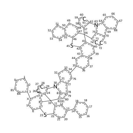 c1ccc(-c2ccc3c(c2)C2(c4cc(-c5ccccc5)ccc4S3)c3ccccc3-n3c4ccc(-c5ccc6ccc7c(c6c5)Sc5c(ccc6ccccc56)C75c6ccccc6-n6c7ccccc7c7cccc5c76)cc4c4cccc2c43)cc1